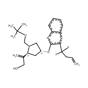 C=CCC(F)(F)c1nc2ccccc2nc1O[C@@H]1C[C@@H](C(=C)CO)N(COC(C)(C)C)C1